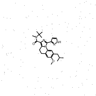 COc1cc2c(cc1CC(C)C)-n1c(-c3cc[nH]n3)nc(C(=O)N(C)C(C)(C)C)c1CC2